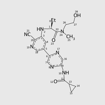 CC[C@H](Nc1cc(-c2cnc(NC(=O)C3CC3)cn2)cnc1C#N)C(=O)N(C)CCO